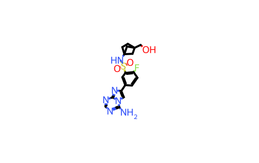 Nc1ncnc2nc(-c3ccc(F)c(S(=O)(=O)NC45CCC(CO)(C4)C5)c3)cn12